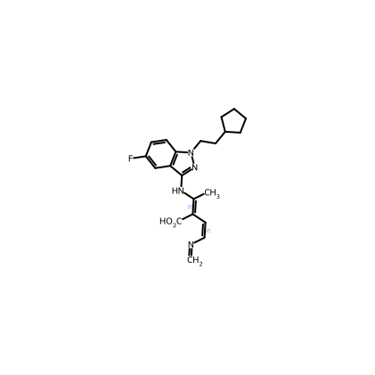 C=N/C=C\C(C(=O)O)=C(/C)Nc1nn(CCC2CCCC2)c2ccc(F)cc12